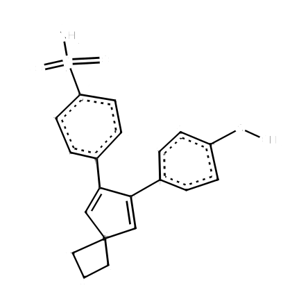 CSc1ccc(C2=CC3(C=C2c2ccc(S(N)(=O)=O)cc2)CCC3)cc1